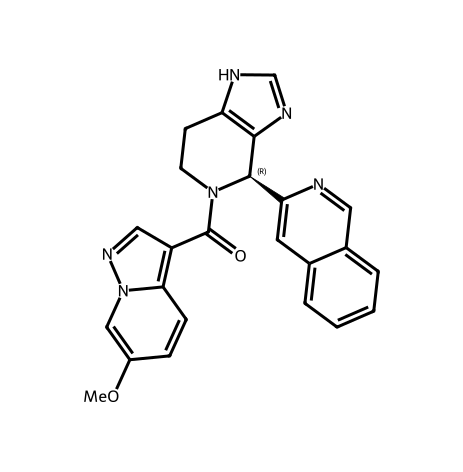 COc1ccc2c(C(=O)N3CCc4[nH]cnc4[C@H]3c3cc4ccccc4cn3)cnn2c1